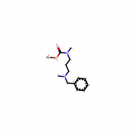 CN(CCCN(C)C(=O)OC(C)(C)C)Cc1ccccc1